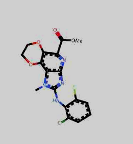 COC(=O)c1nc2nc(Nc3c(F)cccc3Cl)n(C)c2c2c1OCCO2